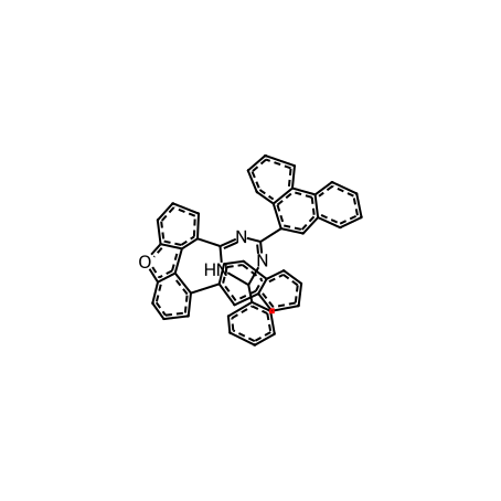 c1ccc(C2N=C(c3cc4ccccc4c4ccccc34)N=C(c3cccc4oc5cccc(-c6ccc7ccccc7c6)c5c34)N2)cc1